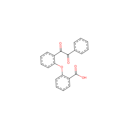 O=C(C(=O)c1ccccc1Oc1ccccc1C(=O)O)c1ccccc1